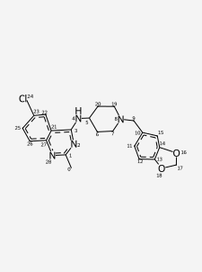 Cc1nc(NC2CCN(Cc3ccc4c(c3)OCO4)CC2)c2cc(Cl)ccc2n1